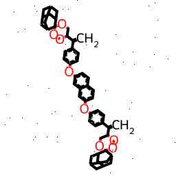 C=C(c1ccc(Oc2ccc3ccc(Oc4ccc(C(=C)C5COC6(OO5)C5CC7CC(C5)CC6C7)cc4)cc3c2)cc1)C1COC2(OO1)C1CC3CC(C1)CC2C3